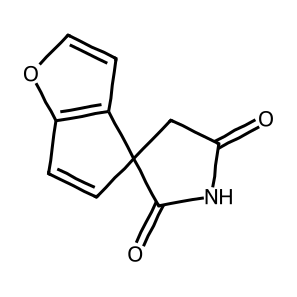 O=C1CC2(C=Cc3occc32)C(=O)N1